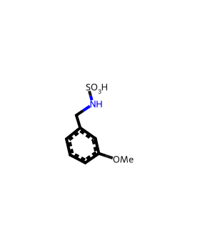 COc1cccc(CNS(=O)(=O)O)c1